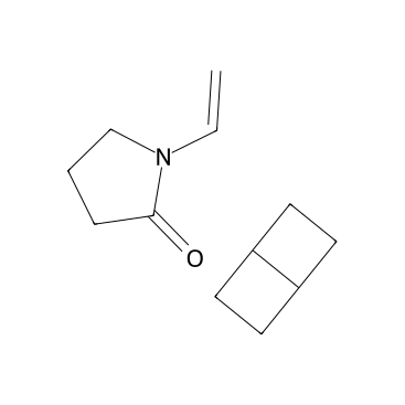 C1CC2CCC12.C=CN1CCCC1=O